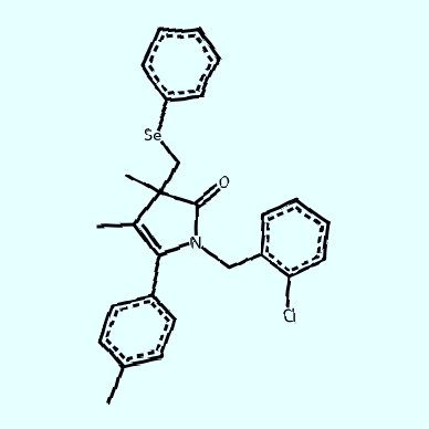 CC1=C(c2ccc(C)cc2)N(Cc2ccccc2Cl)C(=O)C1(C)C[Se]c1ccccc1